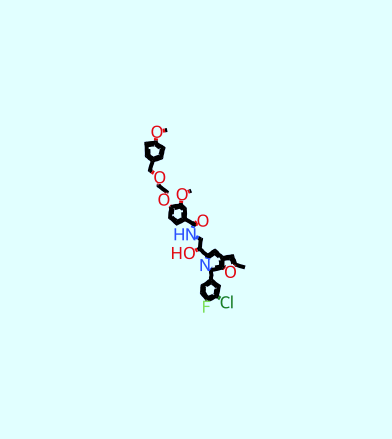 COc1ccc(COCCOc2ccc(C(=O)NCC(O)c3cc4cc(C)oc4c(-c4ccc(F)c(Cl)c4)n3)cc2OC)cc1